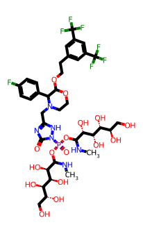 CNC(OP(=O)(OC(NC)[C@H](O)[C@@H](O)[C@H](O)[C@H](O)CO)n1[nH]c(CN2CCOC(OCCc3cc(C(F)(F)F)cc(C(F)(F)F)c3)C2c2ccc(F)cc2)nc1=O)[C@H](O)[C@@H](O)[C@H](O)[C@H](O)CO